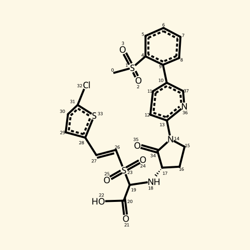 CS(=O)(=O)c1ccccc1-c1ccc(N2CC[C@H](NC(C(=O)O)S(=O)(=O)/C=C/c3ccc(Cl)s3)C2=O)nc1